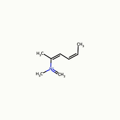 C=[N+](C)/C(C)=C\C=C/C